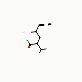 C=C=CC(C)CC(C(=O)Cl)C(C)C